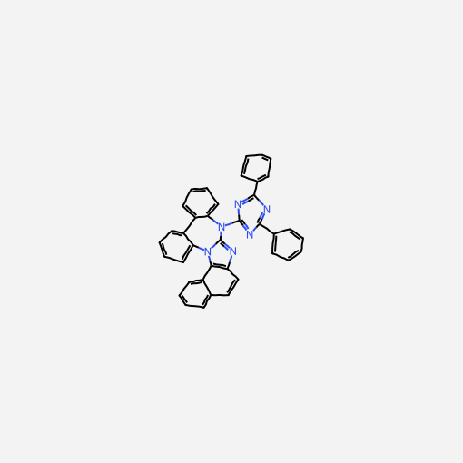 c1ccc(-c2nc(-c3ccccc3)nc(N3c4ccccc4-c4ccccc4-n4c3nc3ccc5ccccc5c34)n2)cc1